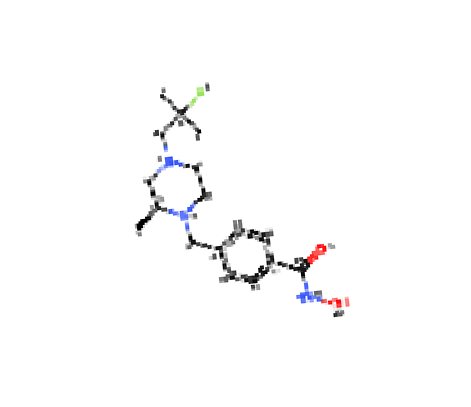 C[C@H]1CN(CC(C)(C)F)CCN1Cc1ccc(C(=O)NO)cc1